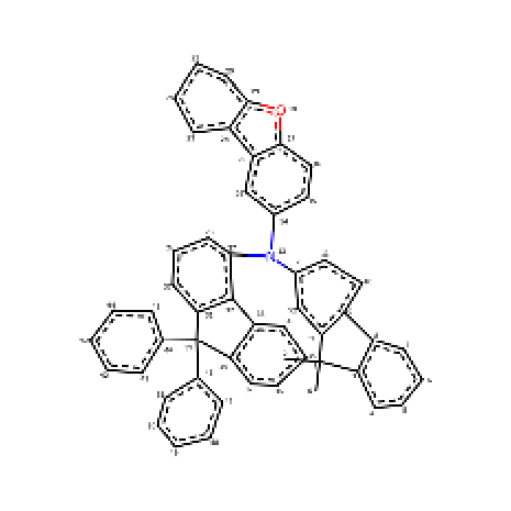 CC1(C)c2ccccc2-c2ccc(N(c3ccc4oc5ccccc5c4c3)c3cccc4c3-c3ccccc3C4(c3ccccc3)c3ccccc3)cc21